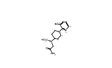 NC(=O)CN(C(=O)O)C1CCN(c2ncccc2Br)CC1